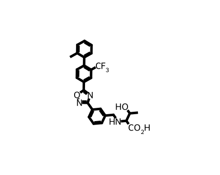 Cc1ccccc1-c1ccc(-c2nc(-c3cccc(CNC(C(=O)O)C(C)O)c3)no2)cc1C(F)(F)F